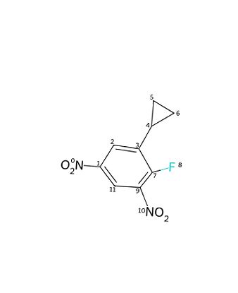 O=[N+]([O-])c1cc(C2CC2)c(F)c([N+](=O)[O-])c1